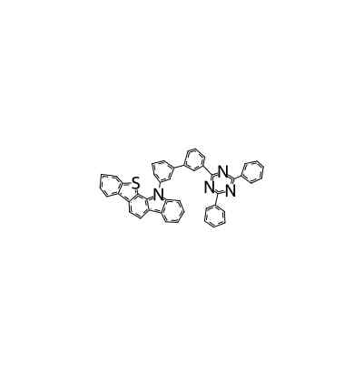 c1ccc(-c2nc(-c3ccccc3)nc(-c3cccc(-c4cccc(-n5c6ccccc6c6ccc7c8ccccc8sc7c65)c4)c3)n2)cc1